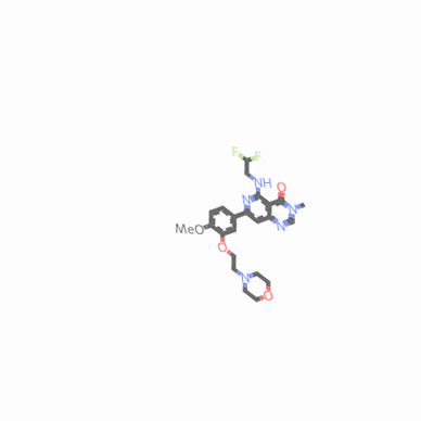 COc1ccc(-c2cc3ncn(C)c(=O)c3c(NCC(F)F)n2)cc1OCCN1CCOCC1